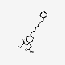 O=C(O)CC1(CC(=O)O)CCN(CCCCOCc2ccccc2)CC1